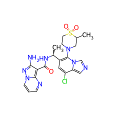 CC1CN(c2c([C@H](C)NC(=O)c3c(N)nn4cccnc34)cc(Cl)c3cncn23)CCS1(=O)=O